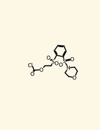 O=C(Cl)OCCS(=O)(=O)c1ccccc1S(=O)(=O)N1CCOCC1